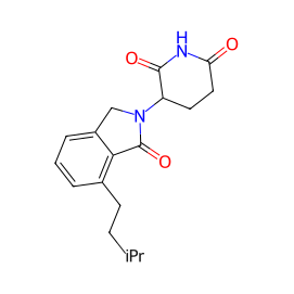 CC(C)CCc1cccc2c1C(=O)N(C1CCC(=O)NC1=O)C2